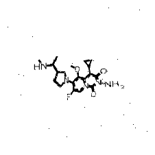 CNC(C)C1CCN(c2c(F)cn3c(=O)n(N)c(=O)c(C4CC4)c3c2OC)C1